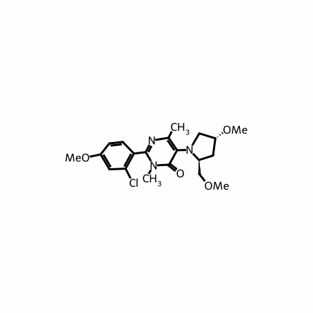 COC[C@@H]1C[C@@H](OC)CN1c1c(C)nc(-c2ccc(OC)cc2Cl)n(C)c1=O